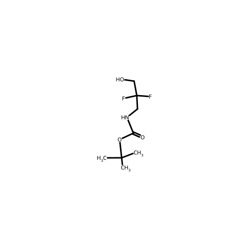 CC(C)(C)OC(=O)NCC(F)(F)CO